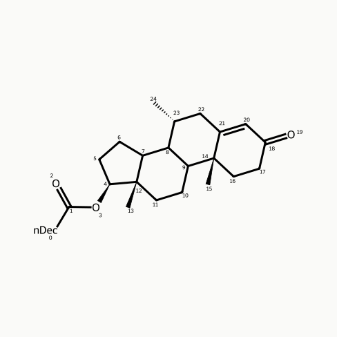 CCCCCCCCCCC(=O)O[C@H]1CCC2C3C(CC[C@@]21C)[C@@]1(C)CCC(=O)C=C1C[C@H]3C